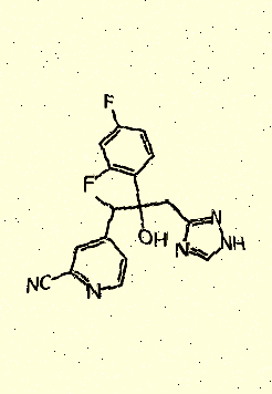 CC(c1ccnc(C#N)c1)C(O)(Cc1nc[nH]n1)c1ccc(F)cc1F